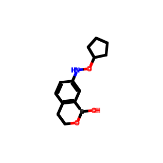 OB1OCCc2ccc(NOC3CCCC3)cc21